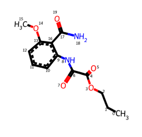 CCCOC(=O)C(=O)Nc1cccc(OC)c1C(N)=O